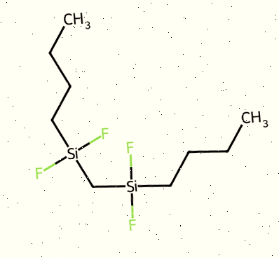 CCCC[Si](F)(F)C[Si](F)(F)CCCC